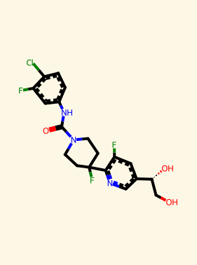 O=C(Nc1ccc(Cl)c(F)c1)N1CCC(F)(c2ncc([C@H](O)CO)cc2F)CC1